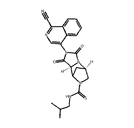 CC(C)CNC(=S)N1C[C@H]2CC1[C@H]1C(=O)N(c3cnc(C#N)c4ccccc34)C(=O)N21